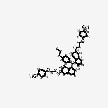 CCCc1ccc(C2c3c(ccc4cc(OCCOc5ccc(O)cc5)ccc34)Oc3ccc4cc(OCCOc5ccc(O)cc5)ccc4c32)cc1